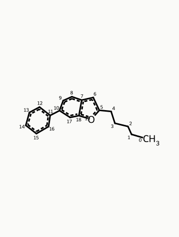 CCCCCc1cc2ccc(-c3ccccc3)cc2o1